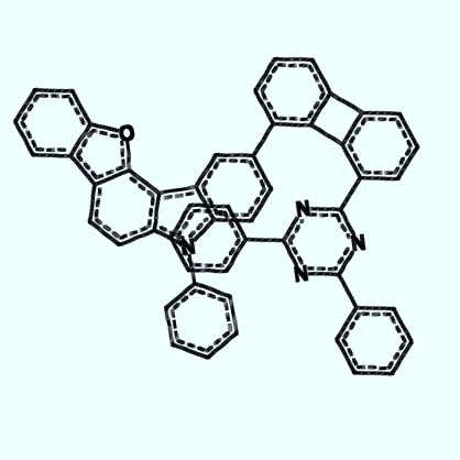 c1ccc(-c2nc(-c3ccccc3)nc(-c3cccc4c3-c3c(-c5ccc6c(c5)c5c7oc8ccccc8c7ccc5n6-c5ccccc5)cccc3-4)n2)cc1